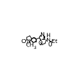 CCC(=O)N[C@@H]1CCOc2c(-c3ccc4c(c3)CCC(=O)N4C)cncc21